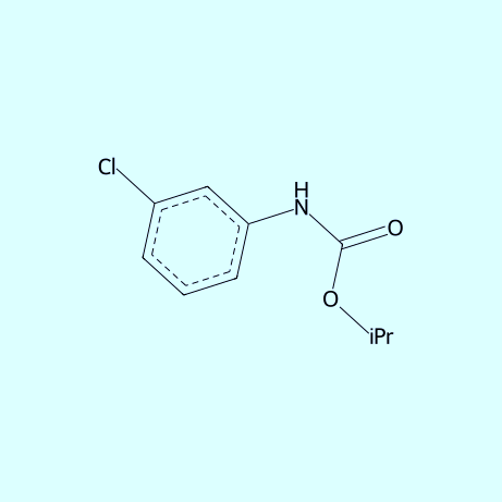 CC(C)OC(=O)Nc1cccc(Cl)c1